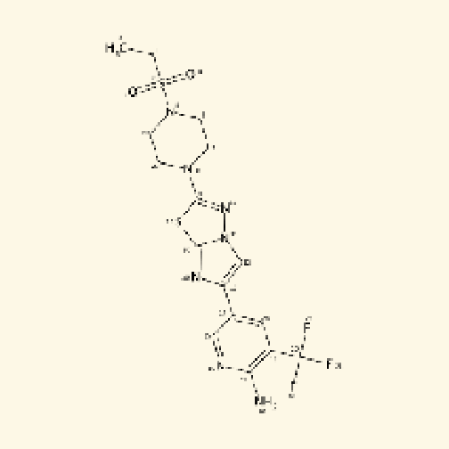 CCS(=O)(=O)N1CCN(c2nn3cc(-c4cnc(N)c(C(F)(F)F)c4)nc3s2)CC1